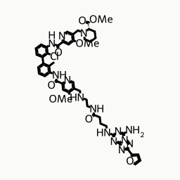 COC(=O)[C@@H]1CCCCN1Cc1cnc(C(=O)Nc2cccc(-c3cccc(NC(=O)c4cc(OC)c(CNCCNC(=O)CCCNc5nc(N)n6nc(-c7ccco7)nc6n5)cn4)c3C)c2Cl)cc1OC